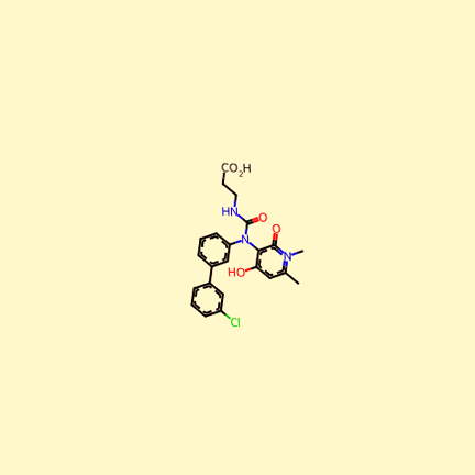 Cc1cc(O)c(N(C(=O)NCCC(=O)O)c2cccc(-c3cccc(Cl)c3)c2)c(=O)n1C